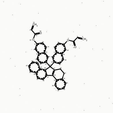 C=CC(=O)Oc1ccc2cc(C3(c4ccc5cc(OC(=O)C=C)ccc5c4)C4=C(c5ccccc5CC4)c4ccc5ccccc5c43)ccc2c1